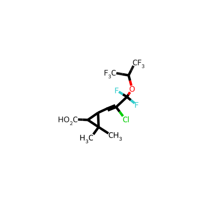 CC1(C)C(C=C(Cl)C(F)(F)OC(C(F)(F)F)C(F)(F)F)C1C(=O)O